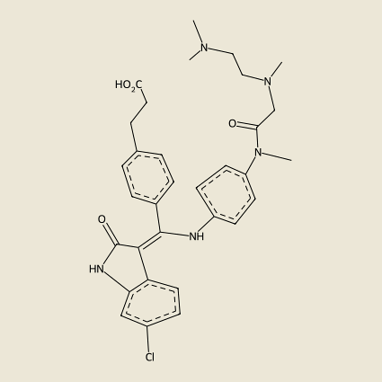 CN(C)CCN(C)CC(=O)N(C)c1ccc(NC(=C2C(=O)Nc3cc(Cl)ccc32)c2ccc(CCC(=O)O)cc2)cc1